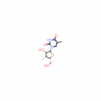 Cc1cn(C2O[C@H](CO)[C@H](C)[C@H]2O)c(=O)[nH]c1=O